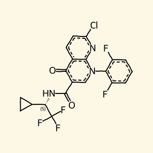 O=C(N[C@@H](C1CC1)C(F)(F)F)c1cn(-c2c(F)cccc2F)c2nc(Cl)ccc2c1=O